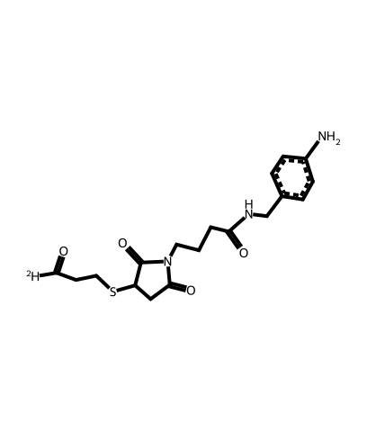 [2H]C(=O)CCSC1CC(=O)N(CCCC(=O)NCc2ccc(N)cc2)C1=O